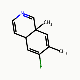 CC1=CC2(C)C=NC=CC2C=C1F